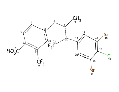 CC(Cc1ccc(C(=O)O)c(C(F)(F)F)c1)C(c1cc(Br)c(Cl)c(Br)c1)C(F)(F)F